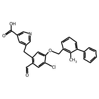 Cc1c(COc2cc(Cc3cncc(C(=O)O)c3)c(C=O)cc2Cl)cccc1-c1ccccc1